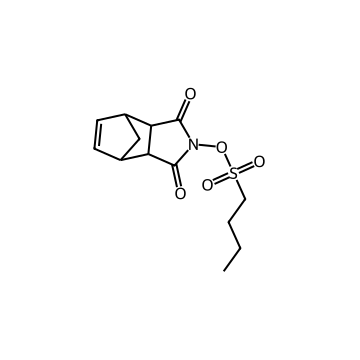 CCCCS(=O)(=O)ON1C(=O)C2C3C=CC(C3)C2C1=O